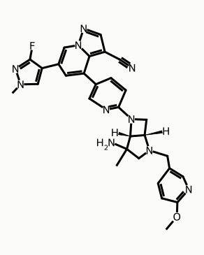 COc1ccc(CN2CC(C)(N)[C@H]3[C@@H]2CN3c2ccc(-c3cc(-c4cn(C)nc4F)cn4ncc(C#N)c34)cn2)cn1